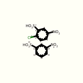 O=[N+]([O-])c1ccc(Cl)c(S(=O)(=O)O)c1.O=[N+]([O-])c1cccc(S(=O)(=O)O)c1